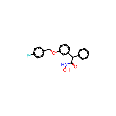 O=C(NO)C(c1ccccc1)c1cccc(OCc2ccc(F)cc2)c1